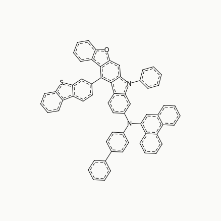 c1ccc(-c2ccc(N(c3ccc4c5c(-c6ccc7c(c6)sc6ccccc67)c6c(cc5n(-c5ccccc5)c4c3)oc3ccccc36)c3cc4ccccc4c4ccccc34)cc2)cc1